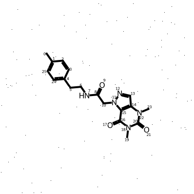 Cc1ccc(CCNC(=O)Cn2ncc3c2c(=O)n(C)c(=O)n3C)cc1